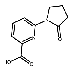 O=C(O)c1cccc(N2CCCC2=O)n1